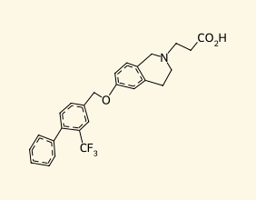 O=C(O)CCN1CCc2cc(OCc3ccc(-c4ccccc4)c(C(F)(F)F)c3)ccc2C1